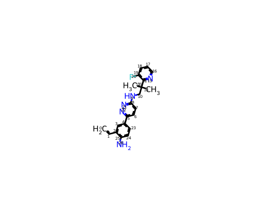 C=Cc1cc(-c2ccc(NCC(C)(C)c3ncccc3F)nn2)ccc1N